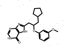 COc1cccc(OC(Cc2nc3nc[nH]c(=O)c3[nH]2)CC2CCCC2)c1